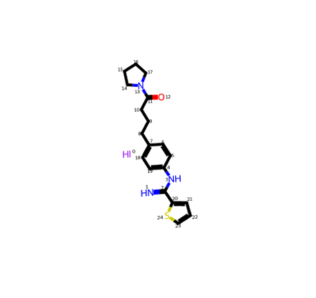 I.N=C(Nc1ccc(CCCC(=O)N2CCCC2)cc1)c1cccs1